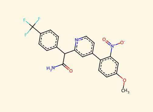 COc1ccc(-c2ccnc(C(C(N)=O)c3ccc(C(F)(F)F)cc3)c2)c([N+](=O)[O-])c1